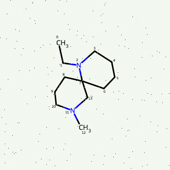 CCN1CCCCC12CCCN(C)C2